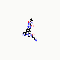 Cc1cc(-c2ccncc2N2CCN(C(=O)/C=C/CN(C)C)CC2)ccc1CNC(=O)c1noc(C(C)(C)C)n1